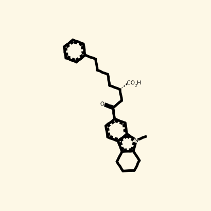 Cn1c2c(c3ccc(C(=O)C[C@H](CCCCc4ccccc4)C(=O)O)cc31)CCCC2